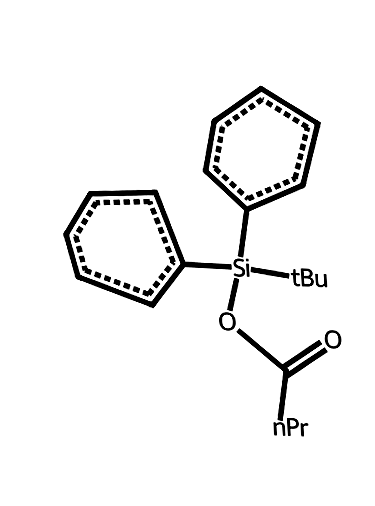 [CH2]CCC(=O)O[Si](c1ccccc1)(c1ccccc1)C(C)(C)C